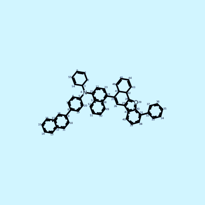 C1=CCC(N(c2ccc(-c3ccc4ccccc4c3)cc2)c2ccc(C3=Cc4c(oc5c(-c6ccccc6)cccc45)C4C=CC=CC34)c3ccccc23)C=C1